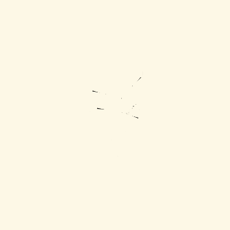 CB1O[C@H]2C[C@H]3C[C@H](C3(C)C)[C@@]2(C)O1